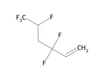 C=CC(F)(F)CC(F)C(F)(F)F